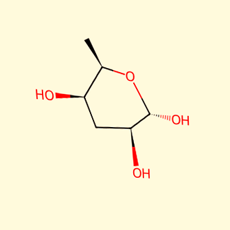 C[C@H]1O[C@H](O)[C@@H](O)C[C@H]1O